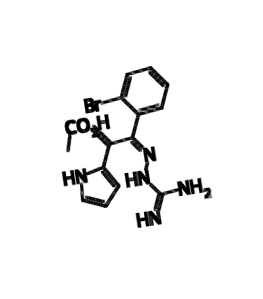 C=C(C(=NNC(=N)N)c1ccccc1Br)c1ccc[nH]1.CC(=O)O